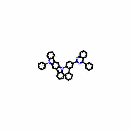 c1ccc(-c2cc(-c3nc(-c4ccccc4)c4ccccc4n3)ccc2-n2c3ccccc3c3cc4c(cc32)c2ccccc2n4-c2ccccc2)cc1